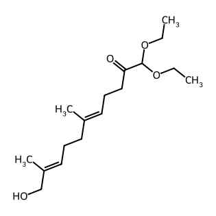 CCOC(OCC)C(=O)CC/C=C(\C)CC/C=C(\C)CO